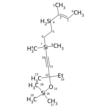 CC=C(C)[SiH2]CC[Si](C)(C)C#CC(C)(CC)O[Si](C)(C)C